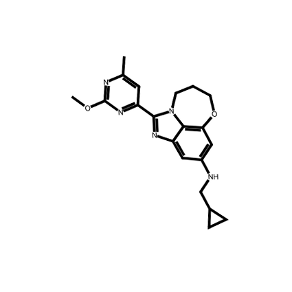 COc1nc(C)cc(-c2nc3cc(NCC4CC4)cc4c3n2CCCO4)n1